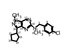 CN(Cc1ccc(Cl)cc1)c1ncc2c(n1)c(C1CCCC1)nn2C